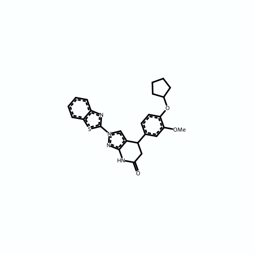 COc1cc(C2CC(=O)Nc3nn(-c4nc5ccccc5s4)cc32)ccc1OC1CCCC1